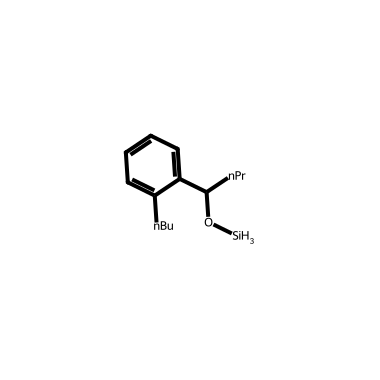 CCCCc1ccccc1C(CCC)O[SiH3]